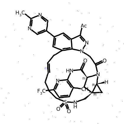 CC(=O)c1nn2c3c(cc(-c4cnc(C)nc4)cc13)C/C=C/CCCS(=O)(=O)NC[C@@]13C[C@@H](C(=O)Nc4nc(C(F)(F)F)ccc4C)N(C(=O)C2)[C@@H]1C3